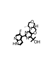 C[C@@H]1COC[C@H]2COc3c(nc(-c4c(F)cnc5[nH]ccc45)nc3C(C)(C)O)N21